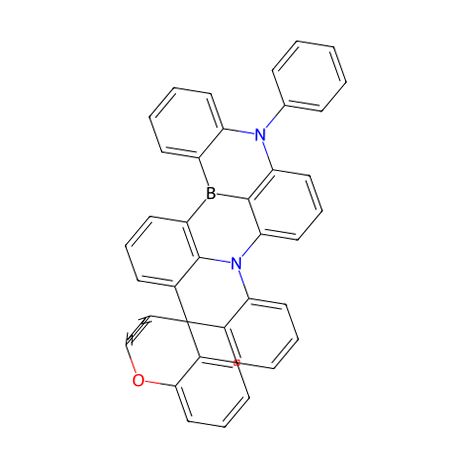 c1ccc(N2c3ccccc3B3c4cccc5c4N(c4ccccc4C54c5ccccc5Oc5ccccc54)c4cccc2c43)cc1